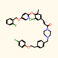 Cc1cc(/C=C/C(=O)N2CCN(Cc3ccc(CCOc4ccc(F)cc4)cc3)CC2)cc(Cl)c1Oc1ccc(OCc2ccccc2F)cn1